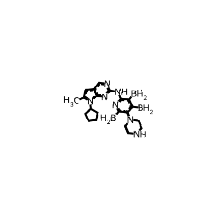 Bc1nc(Nc2ncc3cc(C)n(C4CCCC4)c3n2)c(B)c(B)c1N1CCNCC1